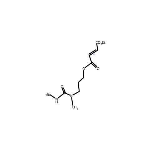 CCOC(=O)/C=C/C(=O)OCCCN(C)C(=O)NC(C)(C)C